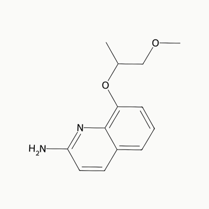 COCC(C)Oc1cccc2ccc(N)nc12